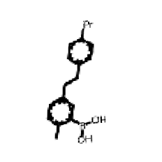 Cc1ccc(CCc2ccc(C(C)C)cc2)cc1B(O)O